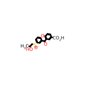 CC(O)C[S+]([O-])c1ccc2oc3ccc(C(=O)O)cc3c(=O)c2c1